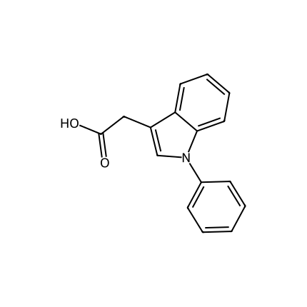 O=C(O)Cc1cn(-c2ccccc2)c2ccccc12